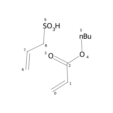 C=CC(=O)OCCCC.C=CCS(=O)(=O)O